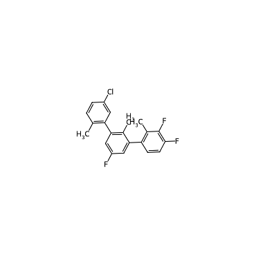 Cc1ccc(Cl)cc1-c1cc(F)cc(-c2ccc(F)c(F)c2C)c1C